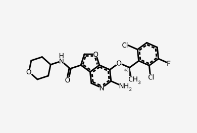 C[C@@H](Oc1c(N)ncc2c(C(=O)NC3CCOCC3)coc12)c1c(Cl)ccc(F)c1Cl